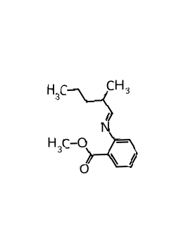 CCCC(C)C=Nc1ccccc1C(=O)OC